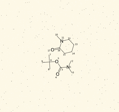 CN(C)C(=O)OC(C)(C)C.CN1CCCCC1=O